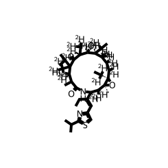 [2H]C([2H])([2H])C1(C([2H])(C)C)C(=O)[C@]([2H])(C([2H])([2H])[2H])[C@@]([2H])(O)[C@@]([2H])(C([2H])([2H])C)C([2H])([2H])C([2H])([2H])C([2H])([2H])[C@@]2(C([2H])([2H])C)O[C@@]2(C)C([2H])([2H])[C@@]([2H])(/C(=C/c2csc(C(C)C)n2)CC)NC(=O)C(C)[C@]1([2H])O